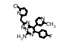 Cc1cc(-c2c(-c3ccc(F)cc3)nc(N)n3nc(Cc4cccc(Cl)n4)nc23)ccn1